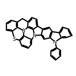 c1ccc(-n2c3ccccc3c3cc4c5ccc6c7c5n(c4cc32)-c2cccc3c2B7c2c(cccc2S3)C6)cc1